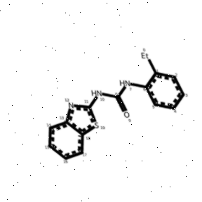 CCc1ccccc1NC(=O)Nc1nc2ccccc2s1